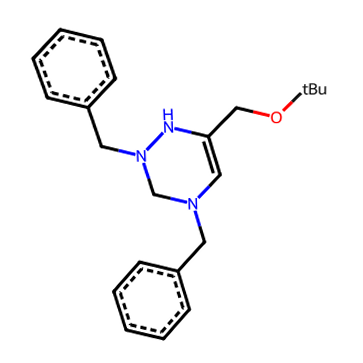 CC(C)(C)OCC1=CN(Cc2ccccc2)CN(Cc2ccccc2)N1